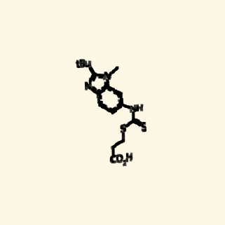 Cn1c(C(C)(C)C)nc2ccc(NC(=S)SCCC(=O)O)cc21